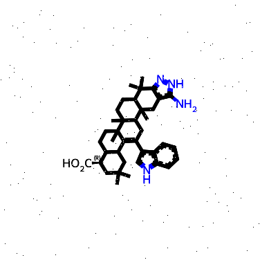 CC1(C)CC2C3=C(c4c[nH]c5ccccc45)CC4C5(C)Cc6c(n[nH]c6N)C(C)(C)C5CCC4(C)C3(C)CCC2[C@H](C(=O)O)C1